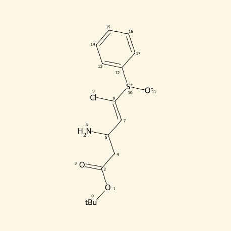 CC(C)(C)OC(=O)CC(N)/C=C(\Cl)[S+]([O-])c1ccccc1